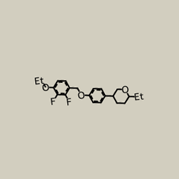 CCOc1ccc(COc2ccc(C3CCC(CC)OC3)cc2)c(F)c1F